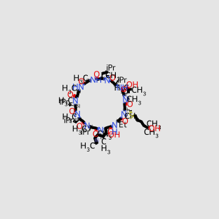 C/C=C/C[C@@H](C)[C@@H](O)[C@H]1C(=O)N[C@H](CC)C(=O)N(C)[C@@H](CSCCCCC(C)(C)O)C(=O)N(C)[C@@H](CC(C)(C)O)C(=O)N[C@H](C(C)C)C(=O)N(C)[C@H](CCC(C)C)C(=O)N[C@H](C)C(=O)N[C@@H](C)C(=O)N(C)[C@@H](CC(C)C)C(=O)N(C)[C@H](CC(C)C)C(=O)N(C)[C@H](C(C)C)C(=O)N1C